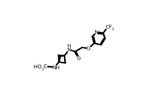 O=C(O)NC12CC(NC(=O)COc3ccc(C(F)(F)F)nc3)(C1)C2